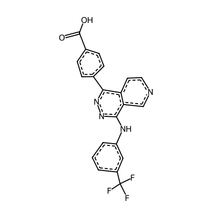 O=C(O)c1ccc(-c2nnc(Nc3cccc(C(F)(F)F)c3)c3cnccc23)cc1